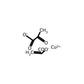 C=CC(=O)[O-].CC(=O)C(=O)[O-].[Cu+2]